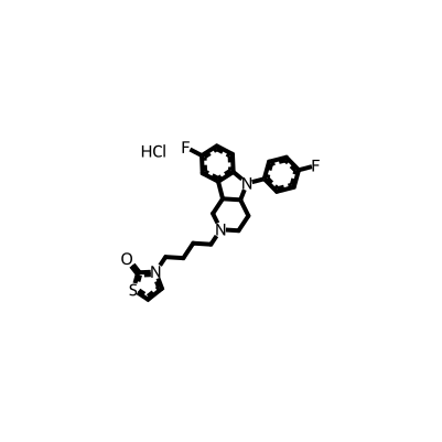 Cl.O=c1sccn1CCCCN1CCC2C(C1)c1cc(F)ccc1N2c1ccc(F)cc1